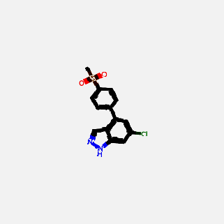 CS(=O)(=O)c1ccc(-c2cc(Cl)cc3[nH]ncc23)cc1